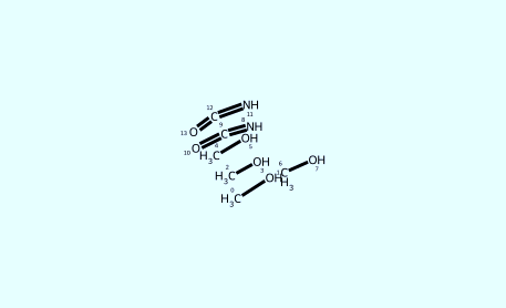 CO.CO.CO.CO.N=C=O.N=C=O